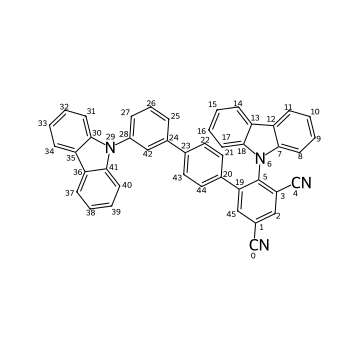 N#Cc1cc(C#N)c(-n2c3ccccc3c3ccccc32)c(-c2ccc(-c3cccc(-n4c5ccccc5c5ccccc54)c3)cc2)c1